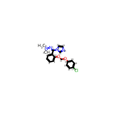 CN(C)/N=C(\c1ccccc1OCOc1ccc(Cl)cc1)n1ccnc1